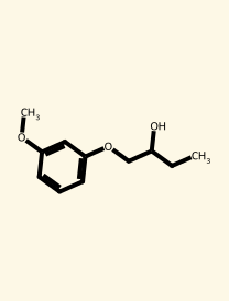 CCC(O)COc1cccc(OC)c1